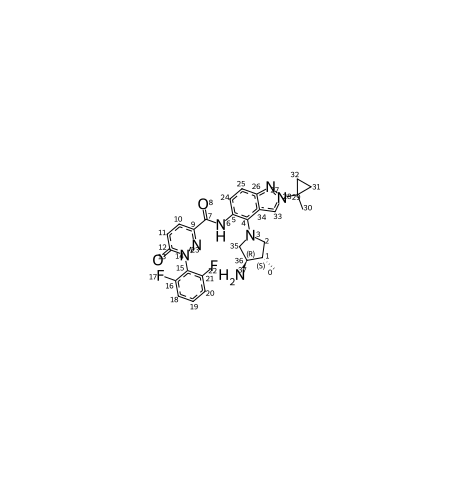 C[C@H]1CN(c2c(NC(=O)c3ccc(=O)n(-c4c(F)cccc4F)n3)ccc3nn(C4(C)CC4)cc23)C[C@@H]1N